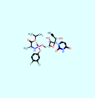 C#C[C@H](O)[C@@]1(n2ccc(=O)[nH]c2=O)O[C@H](COP(=S)(N[C@@H](C)C(=O)OC(C)C)Oc2ccc(F)c(Cl)c2)[C@H]1O